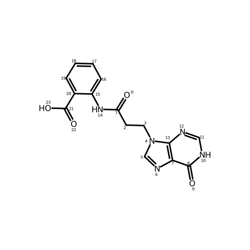 O=C(CCn1cnc2c(=O)[nH]cnc21)Nc1ccccc1C(=O)O